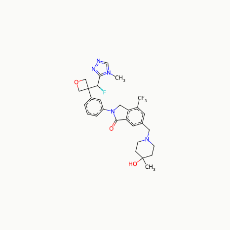 Cn1cnnc1[C@@H](F)C1(c2cccc(N3Cc4c(cc(CN5CCC(C)(O)CC5)cc4C(F)(F)F)C3=O)c2)COC1